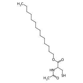 CCCCCCCCCCCCCCOC(=O)C(CS)NC(C)=O